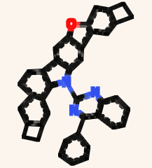 c1ccc(-c2nc(-n3c4cc5c(cc4c4ccc6cc7c(cc6c43)CC7)oc3cc4c(cc35)CC4)nc3ccccc23)cc1